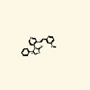 COc1cccc(/[C]=C/c2cnccc2N2C(=O)OC[C@H]2c2ccccc2)c1